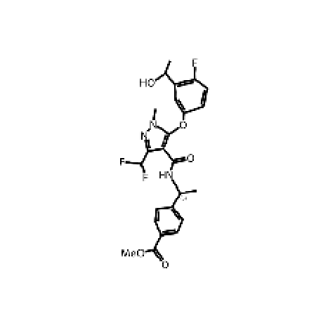 COC(=O)c1ccc([C@H](C)NC(=O)c2c(C(F)F)nn(C)c2Oc2ccc(F)c(C(C)O)c2)cc1